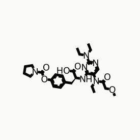 CCN(CC)c1ncc(N(CC)C(=O)COC)c(N[C@@H](Cc2ccc(OC(=O)N3CCCC3)cc2)C(=O)O)n1